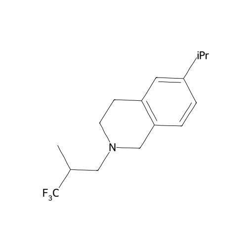 CC(C)c1ccc2c(c1)CCN(CC(C)C(F)(F)F)C2